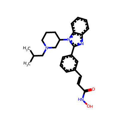 CC(C)CN1CCCC(n2c(-c3cccc(C=CC(=O)NO)c3)nc3ccccc32)C1